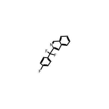 Fc1ccc(C(F)(F)c2cc3ccccc3cn2)cc1